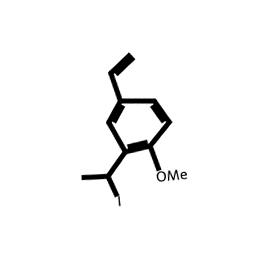 C=Cc1ccc(OC)c(C(C)I)c1